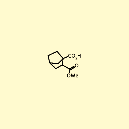 COC(=O)C1CC2CCC1(C(=O)O)C2